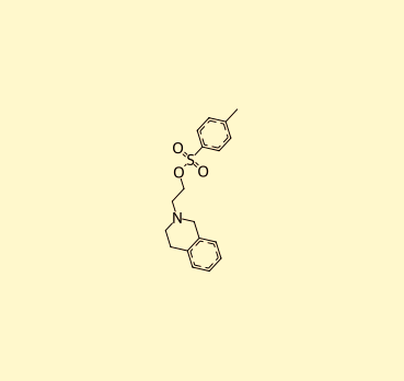 Cc1ccc(S(=O)(=O)OCCN2CCc3ccccc3C2)cc1